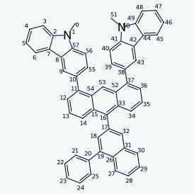 Cn1c2ccccc2c2cc(-c3cccc4c(-c5cc(-c6ccccc6)c6ccccc6c5)c5cccc(-c6ccc7c(c6)c6ccccc6n7C)c5cc34)ccc21